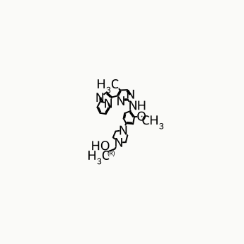 COc1cc(N2CCN(C[C@@H](C)O)CC2)ccc1Nc1ncc(C)c(-c2cnc3ccccn23)n1